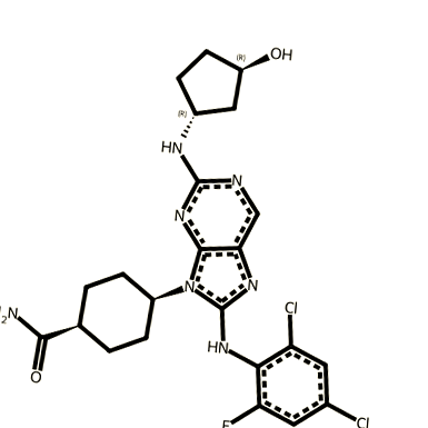 NC(=O)[C@H]1CC[C@@H](n2c(Nc3c(F)cc(Cl)cc3Cl)nc3cnc(N[C@@H]4CC[C@@H](O)C4)nc32)CC1